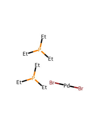 CCP(CC)CC.CCP(CC)CC.[Br][Pd][Br]